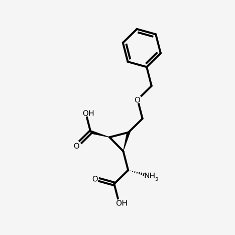 N[C@H](C(=O)O)[C@@H]1C(COCc2ccccc2)[C@@H]1C(=O)O